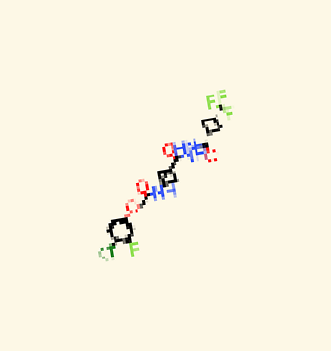 O=C(COc1ccc(Cl)c(F)c1)NC12CC(C(=O)NNC(=O)[C@H]3C[C@@H](C(F)(F)F)C3)(C1)C2